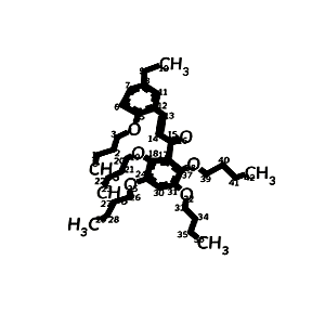 CCCCOc1ccc(CC)cc1C=CC(=O)c1c(OCCCC)c(OCCCC)cc(OCCCC)c1OCCCC